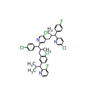 CC(C)C(c1ccc(Cl)c(CC(C)C(c2ccc(Cl)cc2)c2cc(CC(C)C(c3ccc(F)cc3)c3ccc(Cl)cn3)c(Cl)cn2)c1)c1ncccc1F